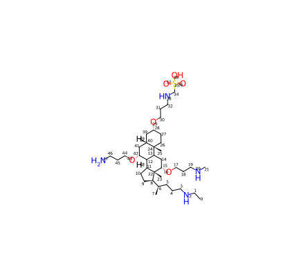 CCNCCC[C@@H](C)[C@H]1CC[C@H]2C3C(C[C@H](OCCCNC)[C@]12C)[C@@]1(C)CC[C@@H](OCCCNCS(=O)(=O)O)C[C@H]1C[C@H]3OCCCN